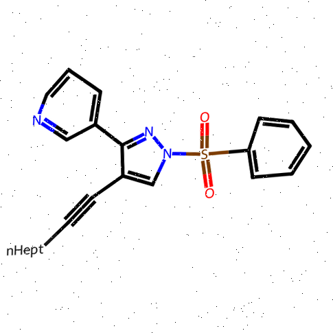 CCCCCCCC#Cc1cn(S(=O)(=O)c2ccccc2)nc1-c1cccnc1